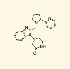 O=C1CN(c2c(CN3CCCC3c3ccccn3)nc3ccccn23)CCN1